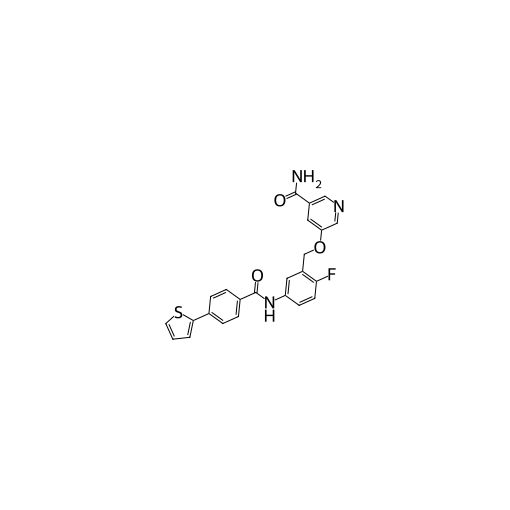 NC(=O)c1cncc(OCc2cc(NC(=O)c3ccc(-c4cccs4)cc3)ccc2F)c1